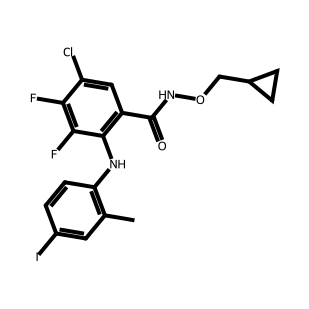 Cc1cc(I)ccc1Nc1c(C(=O)NOCC2CC2)cc(Cl)c(F)c1F